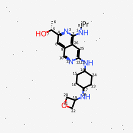 CC(C)Nc1nc([C@@H](C)O)cc2cnc(NC3CCC(NC4COC4)CC3)cc12